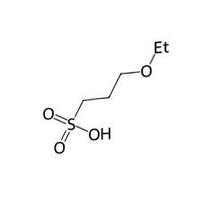 CCOCCCS(=O)(=O)O